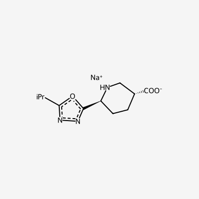 CC(C)c1nnc([C@@H]2CC[C@@H](C(=O)[O-])CN2)o1.[Na+]